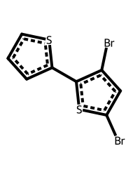 Brc1cc(Br)c(-c2cccs2)s1